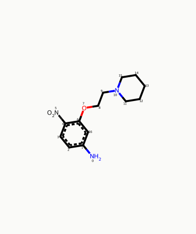 Nc1ccc([N+](=O)[O-])c(OCCN2CCCCC2)c1